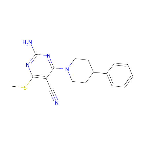 CSc1nc(N)nc(N2CCC(c3ccccc3)CC2)c1C#N